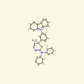 CC12C=CN=C(N(c3ccccc3)c3ccccc3)C1Sc1ccc(-n3c4ccccc4c4ccccc43)cc12